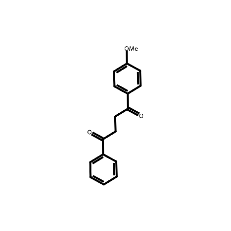 COc1ccc(C(=O)CCC(=O)c2ccccc2)cc1